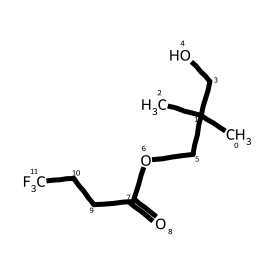 CC(C)(CO)COC(=O)CCC(F)(F)F